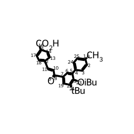 Cc1ccc(-c2cc(C(=O)C=Cc3ccc(C(=O)O)cc3)cc(C(C)(C)C)c2OCC(C)C)cc1